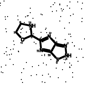 C1COC(c2nc3n[nH]sc-3n2)N1